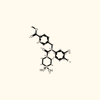 COC(=O)c1ccc(CN(C(=O)N2CCS(O)(O)CC2)c2ccc(F)c(Cl)c2)cn1